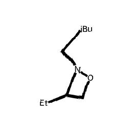 CCC(C)CN1OCC1CC